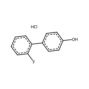 Cl.Oc1ccc(-c2ccccc2F)cc1